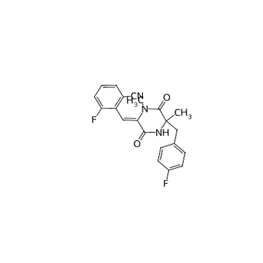 CN1C(=O)C(C)(Cc2ccc(F)cc2)NC(=O)C1=Cc1c(F)cccc1C#N